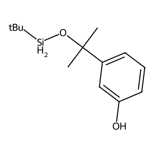 CC(C)(C)[SiH2]OC(C)(C)c1cccc(O)c1